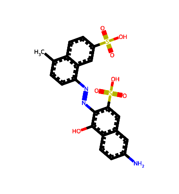 Cc1ccc(N=Nc2c(S(=O)(=O)O)cc3cc(N)ccc3c2O)c2cc(S(=O)(=O)O)ccc12